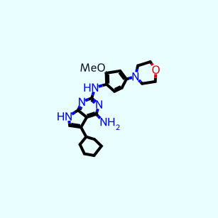 COc1cc(N2CCOCC2)ccc1Nc1nc(N)c2c(C3CCCCC3)c[nH]c2n1